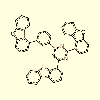 c1cc(-c2nc(-c3cccc4c3oc3ccccc34)nc(-c3cccc4oc5ccccc5c34)n2)cc(-c2cccc3oc4ccccc4c23)c1